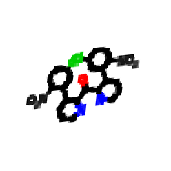 O=C(c1ncccc1-c1cc(Cl)ccc1[N+](=O)[O-])c1ncccc1-c1cc(Cl)ccc1[N+](=O)[O-]